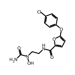 NC(=O)N(O)CCNC(=O)c1ccc(Oc2ccc(Cl)cc2)o1